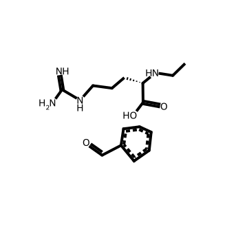 CCN[C@@H](CCCNC(=N)N)C(=O)O.O=Cc1ccccc1